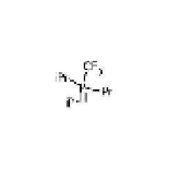 CC(C)[PH](C(C)C)(C(C)C)C(F)(F)F